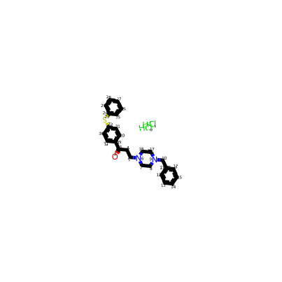 Cl.Cl.O=C(CCN1CCN(Cc2ccccc2)CC1)c1ccc(Sc2ccccc2)cc1